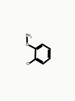 POc1ccccc1Cl